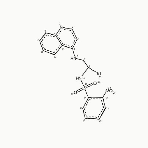 CCC(CNc1ccnc2ccccc12)NS(=O)(=O)c1ccccc1[N+](=O)[O-]